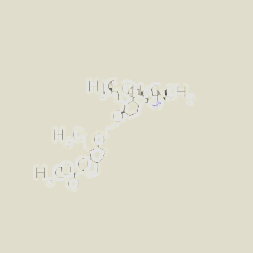 CCCc1c(OCCCOc2ccc(C(=O)/C=C\N(C)C)c(OC)c2CCC)ccc2c1OC(C(=O)OC)CC2